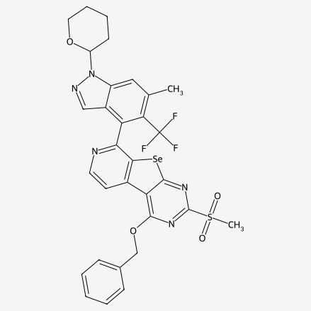 Cc1cc2c(cnn2C2CCCCO2)c(-c2nccc3c2[se]c2nc(S(C)(=O)=O)nc(OCc4ccccc4)c23)c1C(F)(F)F